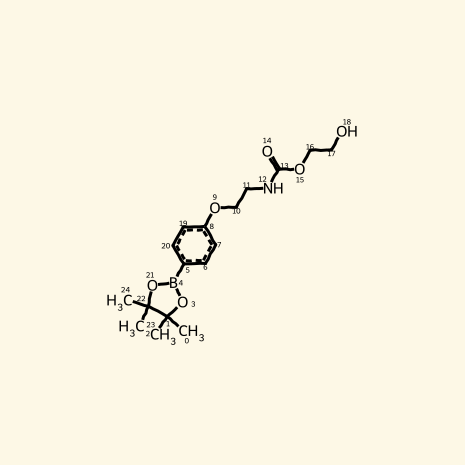 CC1(C)OB(c2ccc(OCCNC(=O)OCCO)cc2)OC1(C)C